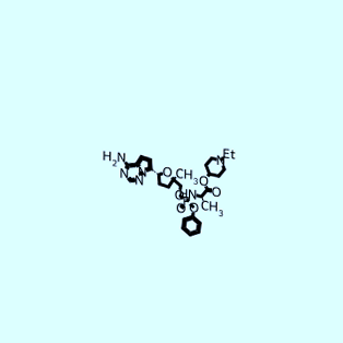 CCN1CCC(OC(=O)[C@H](C)NP(=O)(OC[C@]2(C)CC[C@H](c3ccc4c(N)ncnn34)O2)Oc2ccccc2)CC1